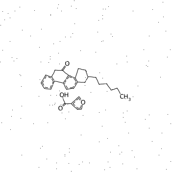 CCCCCCC1CCc2c(ccc3c2C(=O)Cc2ccccc2-3)C1.O=C(O)c1ccoc1